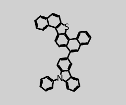 c1ccc(-n2c3ccccc3c3cc(-c4cc5ccccc5c5c4ccc4c5sc5ccc6ccccc6c54)ccc32)cc1